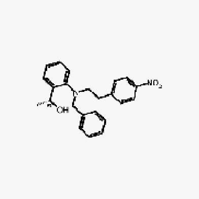 C[C@@H](O)c1ccccc1N(CCc1ccc([N+](=O)[O-])cc1)Cc1ccccc1